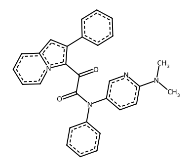 CN(C)c1ccc(N(C(=O)C(=O)c2c(-c3ccccc3)cc3ccccn23)c2ccccc2)cn1